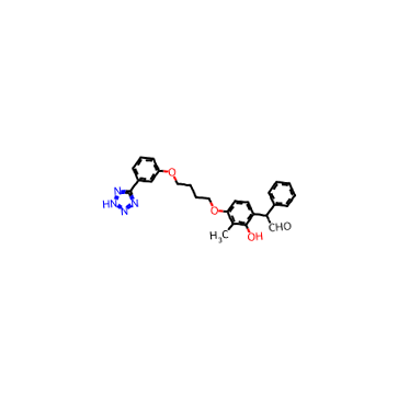 Cc1c(OCCCCOc2cccc(-c3nn[nH]n3)c2)ccc(C(C=O)c2ccccc2)c1O